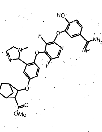 COC(=O)C1C2CCC(C2)C1Oc1ccc(Oc2c(F)cnc(Oc3cc(C(=N)N)ccc3O)c2F)c(C2N=CCN2C)c1